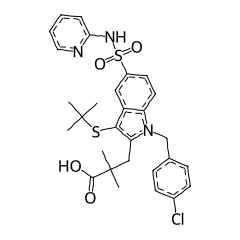 CC(C)(C)Sc1c(CC(C)(C)C(=O)O)n(Cc2ccc(Cl)cc2)c2ccc(S(=O)(=O)Nc3ccccn3)cc12